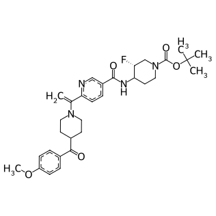 C=C(c1ccc(C(=O)NC2CCN(C(=O)OC(C)(C)C)C[C@H]2F)cn1)N1CCC(C(=O)c2ccc(OC)cc2)CC1